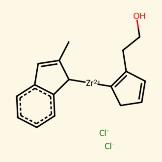 CC1=Cc2ccccc2[CH]1[Zr+2][C]1=C(CCO)C=CC1.[Cl-].[Cl-]